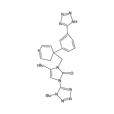 CCCCc1cn(-c2nnnn2C(C)CC)c(=O)n1CC1(c2cccc(-c3nnn[nH]3)c2)C=CN=CC1